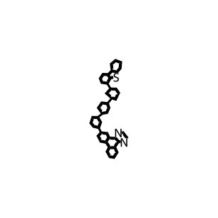 c1cc(-c2ccc(-c3cccc(-c4cccc5c4sc4ccccc45)c3)cc2)cc(-c2ccc3c4ccccc4c4nccnc4c3c2)c1